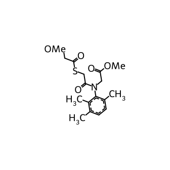 COCC(=O)SCC(=O)N(CC(=O)OC)c1c(C)ccc(C)c1C